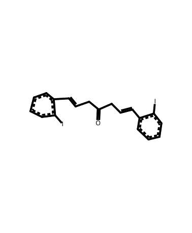 O=C(CC=Cc1ccccc1I)CC=Cc1ccccc1I